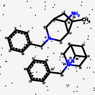 CC1CC2CN(Cc3ccccc3)CC1C2N.NC1C2CC1CN(Cc1ccccc1)C2